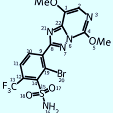 COc1cnc(OC)n2nc(-c3ccc(C(F)(F)F)c(S(N)(=O)=O)c3Br)nc12